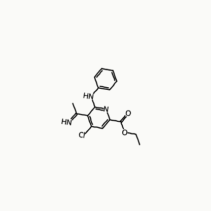 CCOC(=O)c1cc(Cl)c(C(C)=N)c(Nc2ccccc2)n1